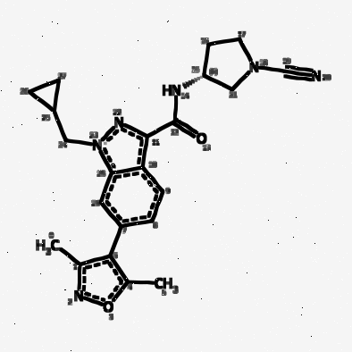 Cc1noc(C)c1-c1ccc2c(C(=O)N[C@@H]3CCN(C#N)C3)nn(CC3CC3)c2c1